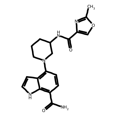 Cc1nc(C(=O)NC2CCCN(c3ccc(C(N)=O)c4[nH]ccc34)C2)co1